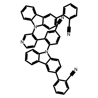 N#Cc1ccc(-n2c3ccccc3c3cc(-c4ccccc4C#N)ccc32)c(-c2ccncc2-n2c3ccccc3c3cc(-c4ccccc4C#N)ccc32)c1